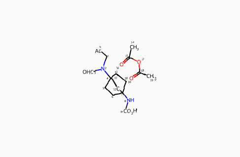 CC(=O)CN(C=O)C12CCC(NC(=O)O)(CC1)CC2.CC(=O)OC(C)=O